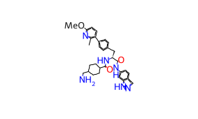 COc1ccc(-c2ccc(C[C@H](NC(=O)C3CCC(CN)CC3)C(=O)Nc3ccc4cn[nH]c4c3)cc2)c(C)n1